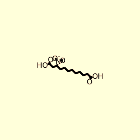 O=C(O)CCCCCCCCC(CC(=O)O)[N+](=O)[O-]